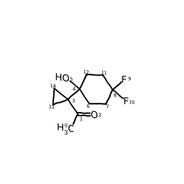 CC(=O)C1(C2(O)CCC(F)(F)CC2)CC1